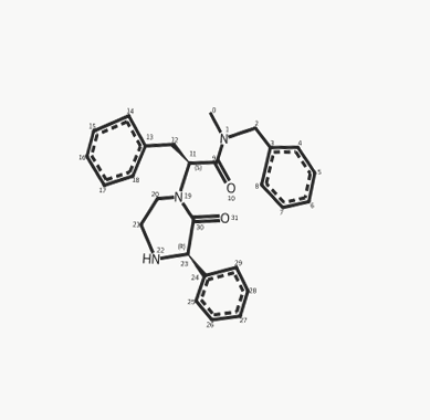 CN(Cc1ccccc1)C(=O)[C@H](Cc1ccccc1)N1CCN[C@H](c2ccccc2)C1=O